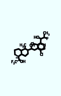 CC(F)C(O)c1ncc(Cl)c(CC(O)C2CCC3C(CCC[C@@H]3[C@H](O)C(F)(F)F)C2C)c1Cl